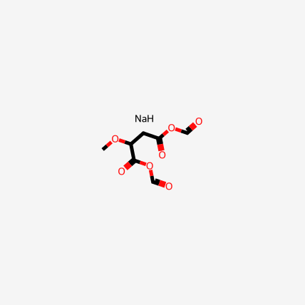 COC(CC(=O)OC=O)C(=O)OC=O.[NaH]